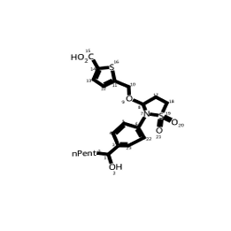 CCCCCC(O)c1ccc(N2C(OCc3ccc(C(=O)O)s3)CCS2(=O)=O)cc1